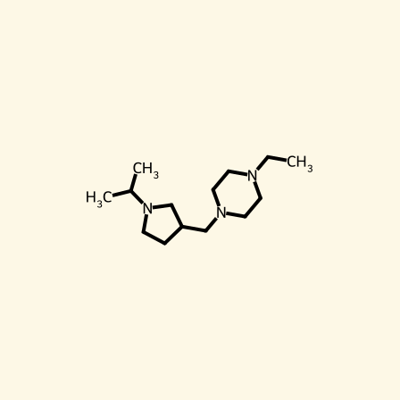 CCN1CCN(CC2CCN(C(C)C)C2)CC1